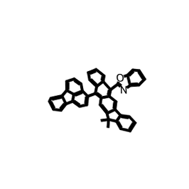 CC1(C)c2ccccc2-c2cc3c(-c4nc5ccccc5o4)c4ccccc4c(-c4ccc5c6c(cccc46)-c4ccccc4-5)c3cc21